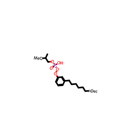 CCCCCCCCCCCCCCCCc1cccc(OOP(=O)(O)OCC(C)OC)c1